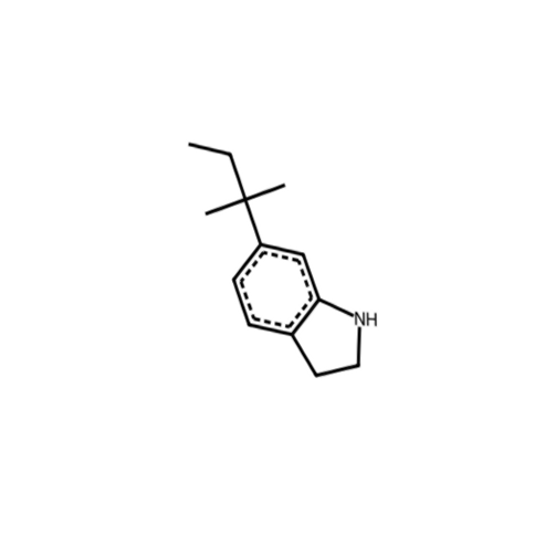 CCC(C)(C)c1ccc2c(c1)NCC2